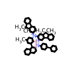 Cc1cc(-c2c(Nc3ccc(-c4ccccc4)cc3)ccc3ccccc23)c2c(c1)N(c1ccc3c(c1)C(C)(C)c1ccccc1-3)c1cc3c(cc1B2)-c1ccccc1C3(C)C